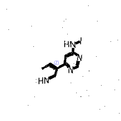 C/C=C(\C=N)c1cc(NI)ncn1